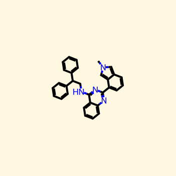 Cn1cc2cccc(-c3nc(NCC(c4ccccc4)c4ccccc4)c4ccccc4n3)c2c1